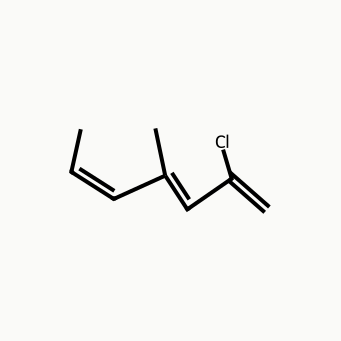 C=C(Cl)/C=C(C)/C=C\C